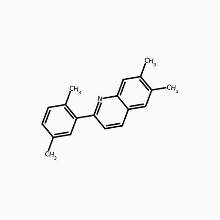 Cc1ccc(C)c(-c2ccc3cc(C)c(C)cc3n2)c1